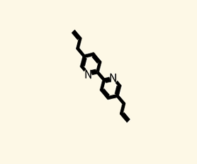 C=CCc1ccc(-c2ccc(CC=C)cn2)nc1